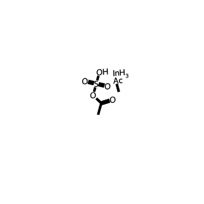 CC(=O)OS(=O)(=O)O.CC(C)=O.[InH3]